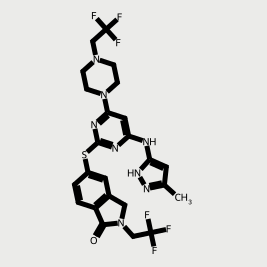 Cc1cc(Nc2cc(N3CCN(CC(F)(F)F)CC3)nc(Sc3ccc4c(c3)CN(CC(F)(F)F)C4=O)n2)[nH]n1